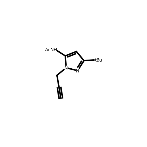 C#CCn1nc(C(C)(C)C)cc1NC(C)=O